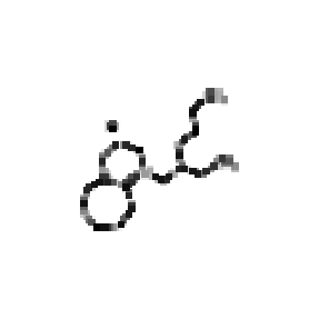 CCCCC(CC)C[N+]1=C2CCCCCN2CCC1.[Br-]